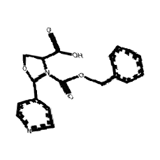 O=C(O)C1COC(c2ccncc2)N1C(=O)OCc1ccccc1